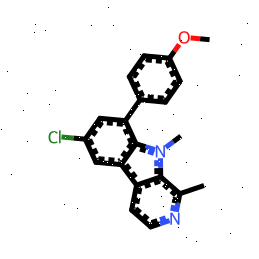 COc1ccc(-c2cc(Cl)cc3c4ccnc(C)c4n(C)c23)cc1